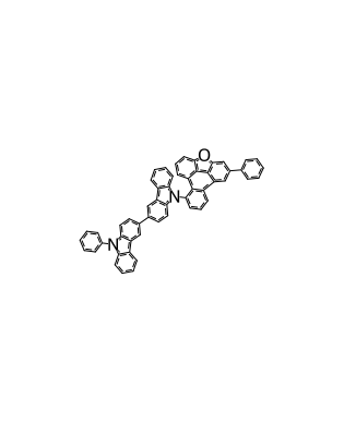 c1ccc(-c2cc3oc4cccc5c6c(-n7c8ccccc8c8cc(-c9ccc%10c(c9)c9ccccc9n%10-c9ccccc9)ccc87)cccc6c(c2)c3c45)cc1